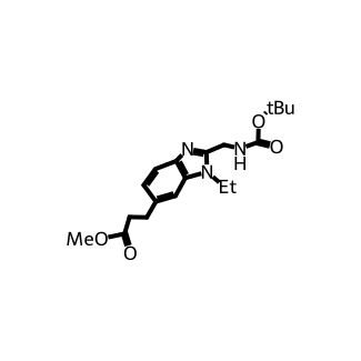 CCn1c(CNC(=O)OC(C)(C)C)nc2ccc(CCC(=O)OC)cc21